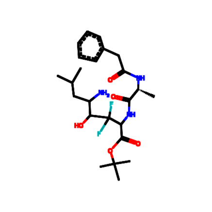 CC(C)CC(N)C(O)C(F)(F)C(NC(=O)[C@@H](C)NC(=O)Cc1ccccc1)C(=O)OC(C)(C)C